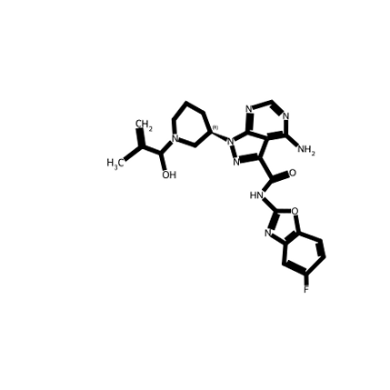 C=C(C)C(O)N1CCC[C@@H](n2nc(C(=O)Nc3nc4cc(F)ccc4o3)c3c(N)ncnc32)C1